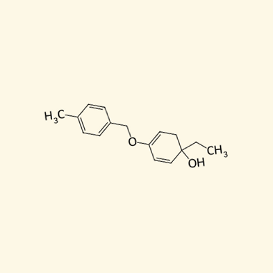 CCC1(O)C=CC(OCc2ccc(C)cc2)=CC1